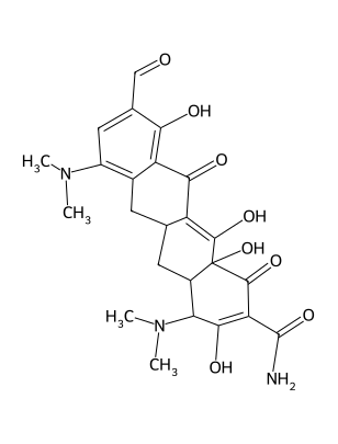 CN(C)c1cc(C=O)c(O)c2c1CC1CC3C(N(C)C)C(O)=C(C(N)=O)C(=O)C3(O)C(O)=C1C2=O